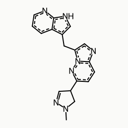 CN1CC(c2ccc3ncc(Cc4c[nH]c5ncccc45)n3n2)C=N1